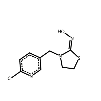 O/N=C1/SCCN1Cc1ccc(Cl)nc1